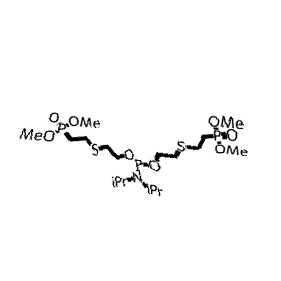 COP(=O)(CCSCCOP(OCCSCCP(=O)(OC)OC)N(C(C)C)C(C)C)OC